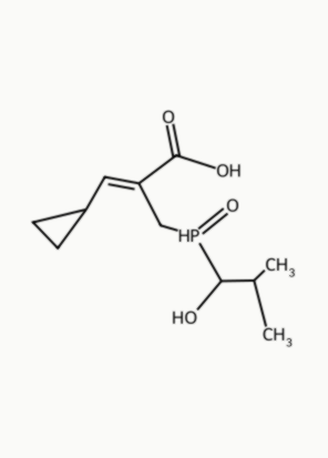 CC(C)C(O)[PH](=O)CC(=CC1CC1)C(=O)O